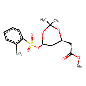 CC(C)(C)OC(=O)C[C@H]1C[C@@H](OS(=O)(=O)c2ccccc2[N+](=O)[O-])OC(C)(C)O1